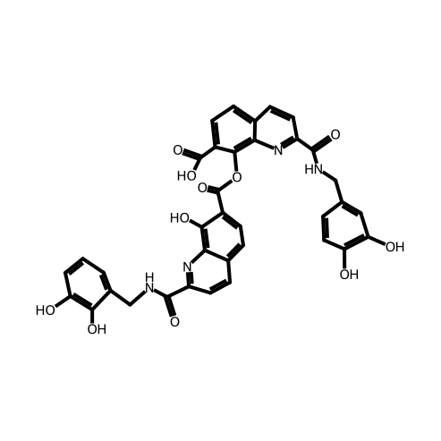 O=C(NCc1cccc(O)c1O)c1ccc2ccc(C(=O)Oc3c(C(=O)O)ccc4ccc(C(=O)NCc5ccc(O)c(O)c5)nc34)c(O)c2n1